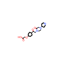 O=C(O)COc1ccc(C(=O)CN2CCN(c3ccncc3)CC2=O)cc1